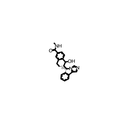 CNC(=O)c1ccc2c(c1)CC[C@@H]([C@H]1c3ccccc3-c3cncn31)C2O